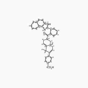 CC1(C)C(c2ccc(C(=O)O)cc2)=CC[C@@]2(C)CN(C(=O)c3ccccc3-c3nc4c(ccc5ccccc54)[nH]3)CC=C12